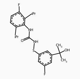 CC(C)c1ccc(F)c(C(C)C)c1NC(=O)NSc1cc(F)cc(C(C)(C)O)c1